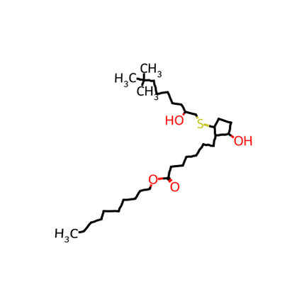 CCCCCCCCCCOC(=O)CCCCCCC1C(O)CCC1SCC(O)CCCCCC(C)(C)C